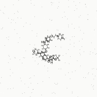 CN1CCN(CCOc2cnc(N[C@H]3CC[C@@H](Oc4nc(N5CCOCC5)cc5ncc(S(=O)(=O)NC(=O)OC(C)(C)C)cc45)CC3)nc2)CC1